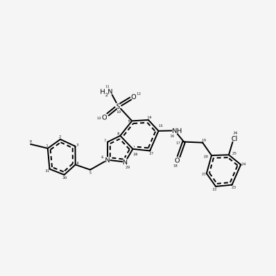 Cc1ccc(Cn2cc3c(S(N)(=O)=O)cc(NC(=O)Cc4ccccc4Cl)cc3n2)cc1